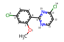 COc1cc(Cl)ccc1-c1nccc(Cl)n1